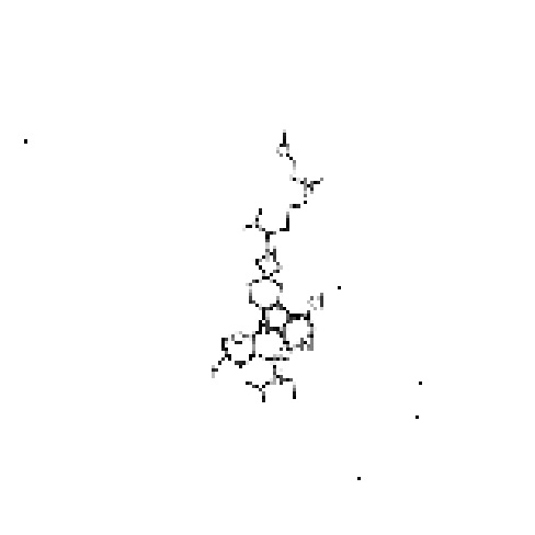 CCN(C(=O)c1cc(F)ccc1-n1c2c(c3c(Cl)cncc31)CC1(CC2)CN([C@H](CCCN(C)CCOC)C(C)C)C1)C(C)C